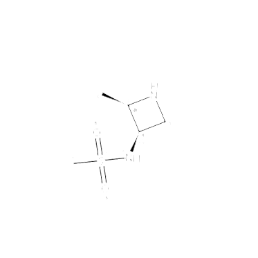 C[C@H]1NC[C@H]1NS(C)(=O)=O